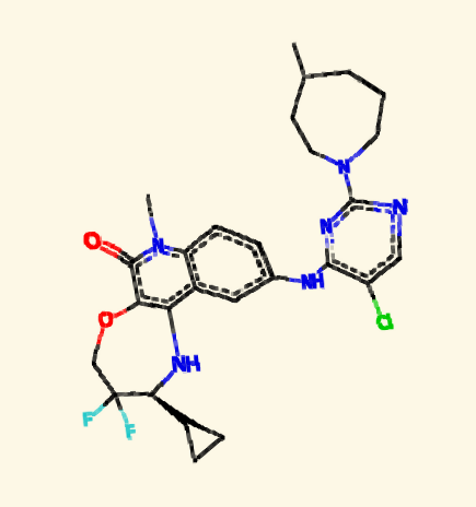 CC1CCCN(c2ncc(Cl)c(Nc3ccc4c(c3)c3c(c(=O)n4C)OCC(F)(F)[C@H](C4CC4)N3)n2)CC1